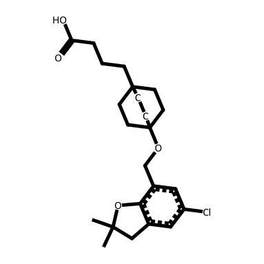 CC1(C)Cc2cc(Cl)cc(COC34CCC(CCCC(=O)O)(CC3)CC4)c2O1